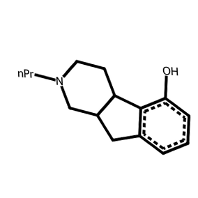 CCCN1CCC2c3c(O)cccc3CC2C1